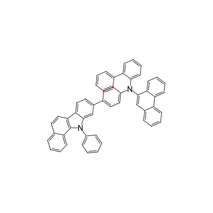 c1ccc(-c2ccccc2N(c2ccc(-c3ccc4c5ccc6ccccc6c5n(-c5ccccc5)c4c3)cc2)c2cc3ccccc3c3ccccc23)cc1